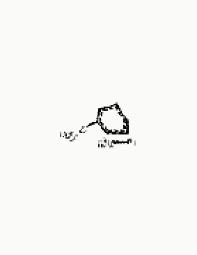 CCCCP.O=C(O)c1ccccc1